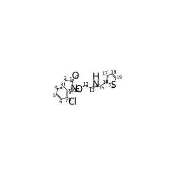 O=C1Cc2cccc(Cl)c2N1OCCNCc1cccs1